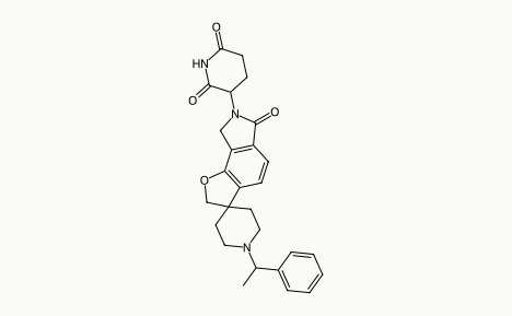 CC(c1ccccc1)N1CCC2(CC1)COc1c2ccc2c1CN(C1CCC(=O)NC1=O)C2=O